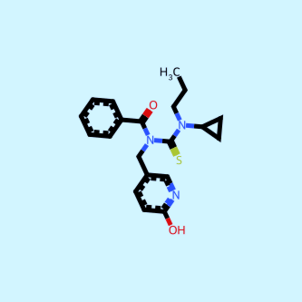 CCCN(C(=S)N(Cc1ccc(O)nc1)C(=O)c1ccccc1)C1CC1